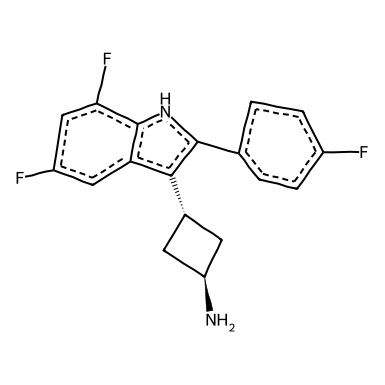 N[C@H]1C[C@H](c2c(-c3ccc(F)cc3)[nH]c3c(F)cc(F)cc32)C1